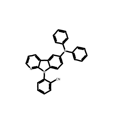 N#Cc1ccccc1-n1c2ccc(N(c3ccccc3)c3ccccc3)cc2c2cccnc21